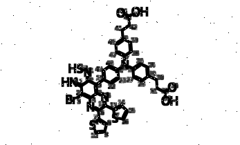 N=C1C(Br)=c2nc(-c3cccs3)c(-c3cccs3)nc2=C(c2ccc(N(c3ccc(CCC(=O)O)cc3)c3ccc(CCC(=O)O)cc3)cc2)/C1=N/S